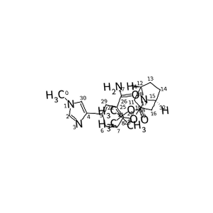 Cn1cnc(-c2ccc(OC3C[C@@H]4CC[C@@H](C3)N4C(=O)OC(C)(C)C)c(C(N)=O)c2)c1